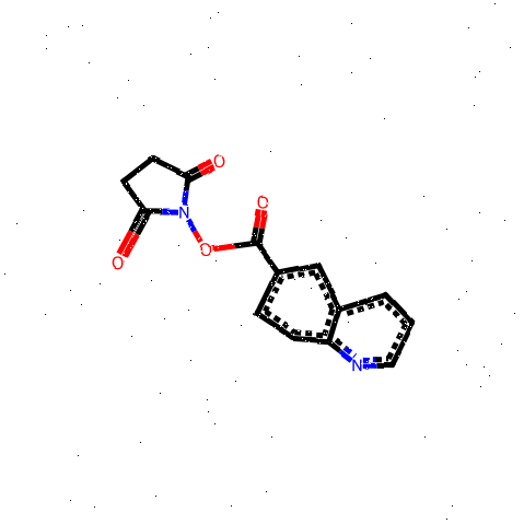 O=C(ON1C(=O)CCC1=O)c1ccc2ncccc2c1